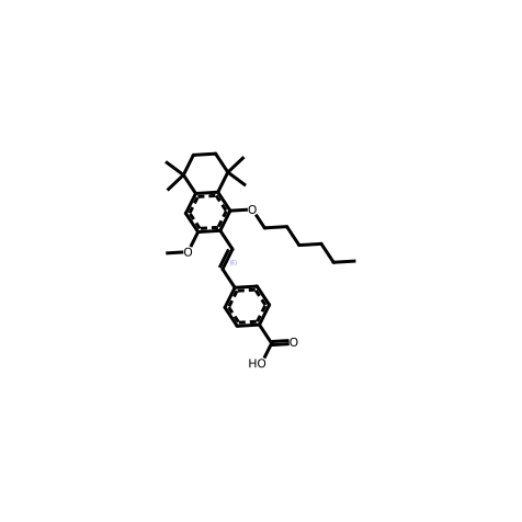 CCCCCCOc1c(/C=C/c2ccc(C(=O)O)cc2)c(OC)cc2c1C(C)(C)CCC2(C)C